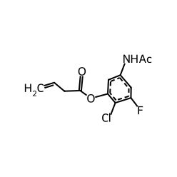 C=CCC(=O)Oc1cc(NC(C)=O)cc(F)c1Cl